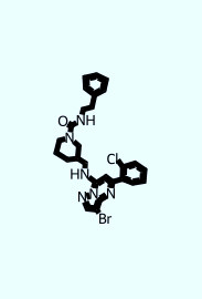 O=C(NCCc1ccccc1)N1CCCC(CNc2cc(-c3ccccc3Cl)nc3c(Br)cnn23)C1